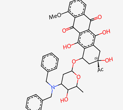 COc1cccc2c1C(=O)c1c(O)c3c(c(O)c1C2=O)C[C@@](O)(C(C)=O)CC3OC1CC(N(Cc2ccccc2)Cc2ccccc2)C(O)C(C)O1